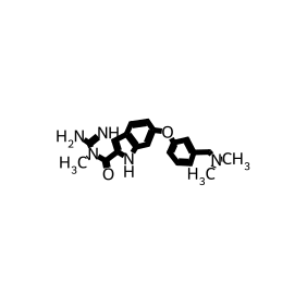 CN(C)Cc1cccc(Oc2ccc3cc(C(=O)N(C)C(=N)N)[nH]c3c2)c1